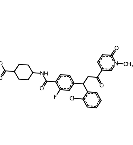 Cn1cc(C(=O)CC(c2ccc(C(=O)NC3CCC(C(=O)O)CC3)c(F)c2)c2ccccc2Cl)ccc1=O